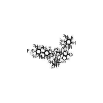 [2H]c1c([2H])c(C([2H])([2H])Sc2nc(=O)c3c(n2C([2H])([2H])C(=O)N(CCN(C([2H])([2H])C)C([2H])([2H])C)C([2H])([2H])c2c([2H])c([2H])c(-c4c([2H])c([2H])c(C(F)(F)F)c([2H])c4[2H])c([2H])c2C)CCC3)c([2H])c([2H])c1F